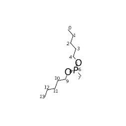 CCCCCOP(C)OCCCCC